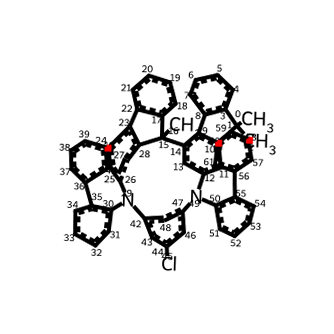 CC1(C)c2ccccc2-c2c1cc1cc2C2(C)c3ccccc3-c3ccc(cc32)N(c2ccccc2-c2ccccc2)c2cc(Cl)cc(c2)N1c1ccccc1-c1ccccc1